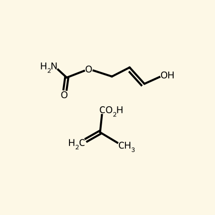 C=C(C)C(=O)O.NC(=O)OCC=CO